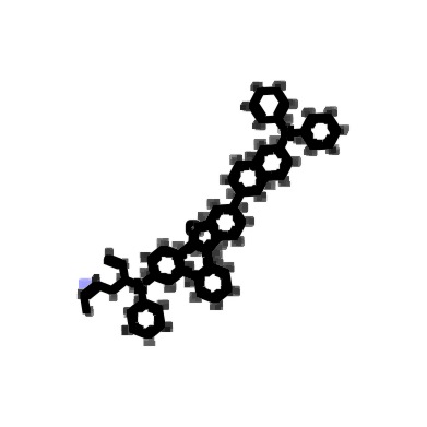 C=CC(C/C=C\C)N(c1ccccc1)c1ccc2c(c1)c1ccccc1c1c3ccc(-c4ccc5cc(N(C6=CCCC=C6)c6ccccc6)ccc5c4)cc3oc21